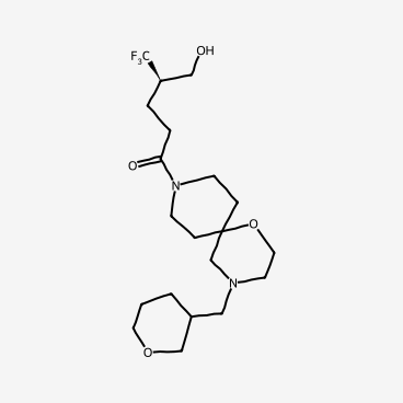 O=C(CC[C@H](CO)C(F)(F)F)N1CCC2(CC1)CN(CC1CCCOC1)CCO2